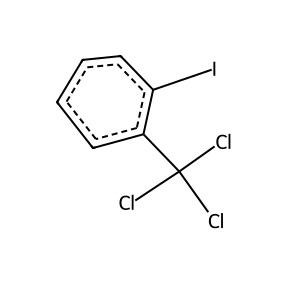 ClC(Cl)(Cl)c1ccccc1I